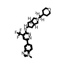 [2H]C([2H])(C1CCOCC1)N1C[C@H]2CC(Nc3nnc(-c4ccc5c(c4)ncn5C)cc3C(F)(F)F)C[C@H]2C1